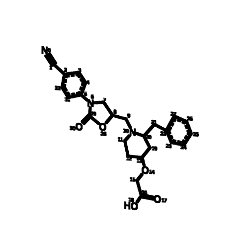 N#Cc1ccc(N2CC(CN3CCC(OCC(=O)O)CC3Cc3ccccc3)OC2=O)cc1